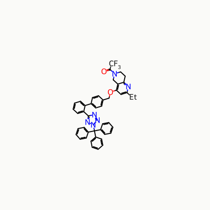 CCc1cc(OCc2ccc(-c3ccccc3-c3nnn(C(c4ccccc4)(c4ccccc4)c4ccccc4)n3)cc2)c2c(n1)CCN(C(=O)C(F)(F)F)C2